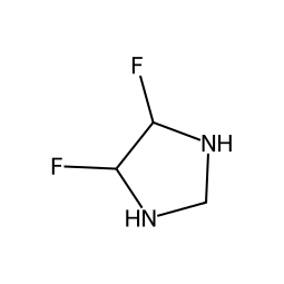 FC1NCNC1F